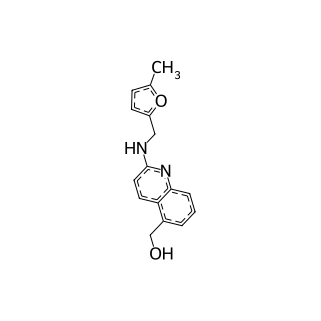 Cc1ccc(CNc2ccc3c(CO)cccc3n2)o1